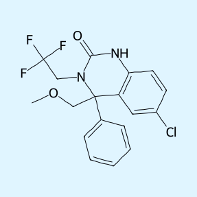 COCC1(c2ccccc2)c2cc(Cl)ccc2NC(=O)N1CC(F)(F)F